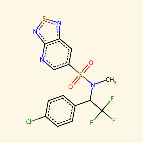 CN(C(c1ccc(Cl)cc1)C(F)(F)F)S(=O)(=O)c1cnc2nsnc2c1